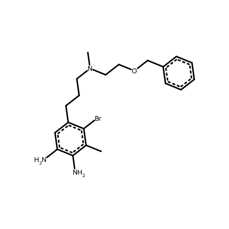 Cc1c(N)c(N)cc(CCCN(C)CCOCc2ccccc2)c1Br